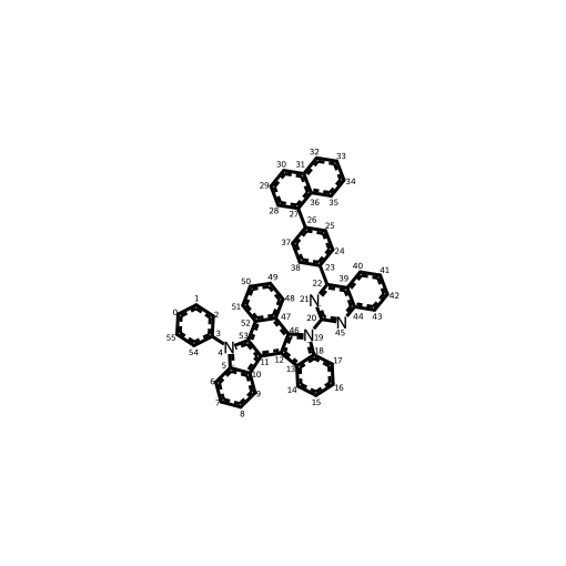 c1ccc(-n2c3ccccc3c3c4c5ccccc5n(-c5nc(-c6ccc(-c7cccc8ccccc78)cc6)c6ccccc6n5)c4c4ccccc4c32)cc1